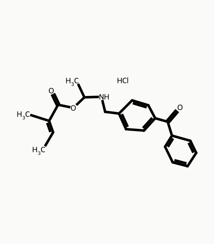 CC=C(C)C(=O)OC(C)NCc1ccc(C(=O)c2ccccc2)cc1.Cl